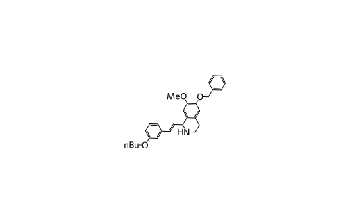 CCCCOc1cccc(/C=C/C2NCCc3cc(OCc4ccccc4)c(OC)cc32)c1